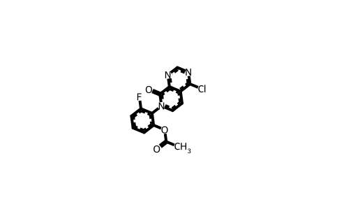 CC(=O)Oc1cccc(F)c1-n1ccc2c(Cl)ncnc2c1=O